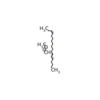 CC/C=C\CCCCCCCC/C=C/CCCC.COOC